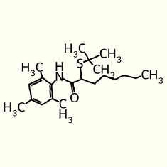 CCCCCCC(SC(C)(C)C)C(=O)Nc1c(C)cc(C)cc1C